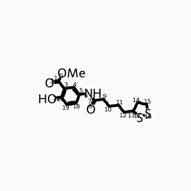 COC(=O)c1cc(NC(=O)CCCCC2CCSS2)ccc1O